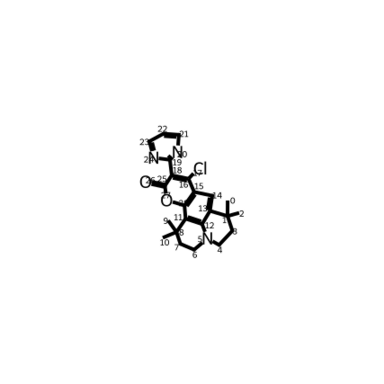 CC1(C)CCN2CCC(C)(C)c3c2c1cc1c(Cl)c(-c2ncccn2)c(=O)oc31